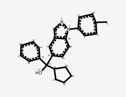 Cc1ccc(-n2ncc3cc(C(O)(c4ccccc4)C4CCCC4)ccc32)cc1